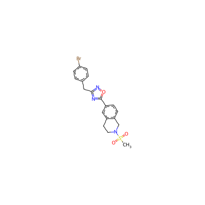 CS(=O)(=O)N1CCc2cc(-c3nc(Cc4ccc(Br)cc4)no3)ccc2C1